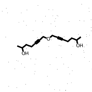 CC(O)CCC#CCOCC#CCCC(C)O